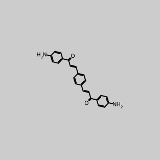 Nc1ccc(C(=O)/C=C/c2ccc(/C=C/C(=O)c3ccc(N)cc3)cc2)cc1